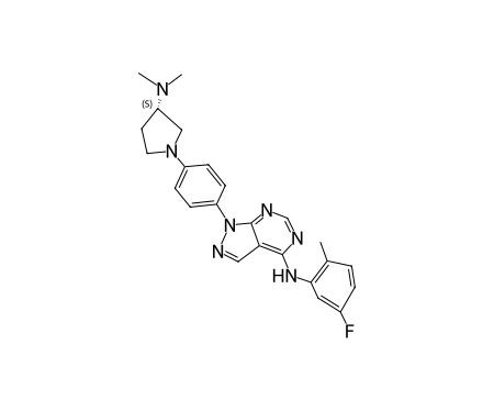 Cc1ccc(F)cc1Nc1ncnc2c1cnn2-c1ccc(N2CC[C@H](N(C)C)C2)cc1